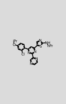 CCCNc1ncc(-c2cc(-c3ccc(OC(C)C)cc3Cl)nc(-c3cnccn3)n2)s1